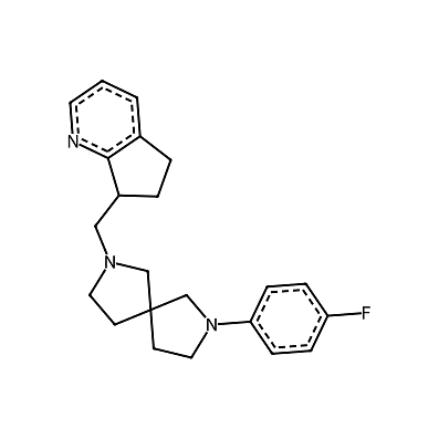 Fc1ccc(N2CCC3(CCN(CC4CCc5cccnc54)C3)C2)cc1